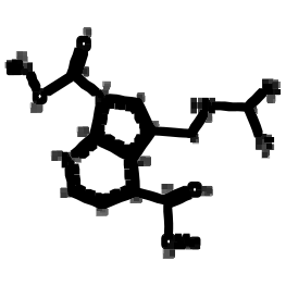 CCC(CC)NCc1cn(C(=O)OC(C)(C)C)c2nccc(C(=O)OC)c12